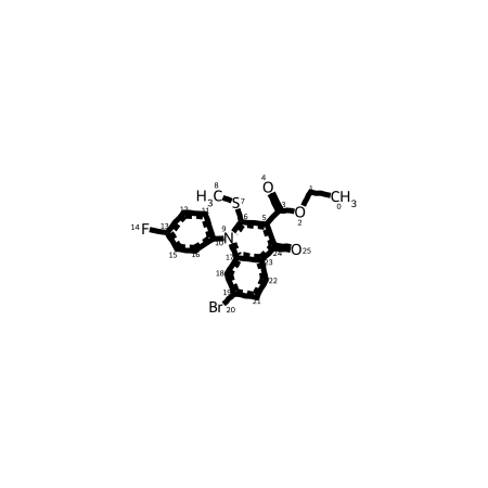 CCOC(=O)c1c(SC)n(-c2ccc(F)cc2)c2cc(Br)ccc2c1=O